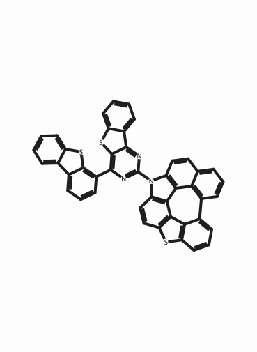 c1cc2c3c(c1)ccc1c3c3c4c(ccc3n1-c1nc(-c3cccc5c3sc3ccccc35)c3sc5ccccc5c3n1)sc1cccc-2c14